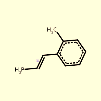 Cc1ccccc1/C=C/P